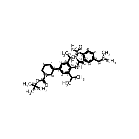 CC(C)c1cc(C2=CCCN(C(=O)OC(C)(C)C)C2)cc(C(C)C)c1NC(=O)N=S(N)(=O)c1ccc(CN(C)C)cc1